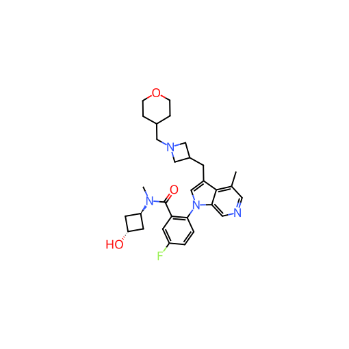 Cc1cncc2c1c(CC1CN(CC3CCOCC3)C1)cn2-c1ccc(F)cc1C(=O)N(C)[C@H]1C[C@H](O)C1